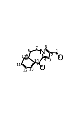 O=Cc1cc2n(c1)CCc1ccccc1C2=O